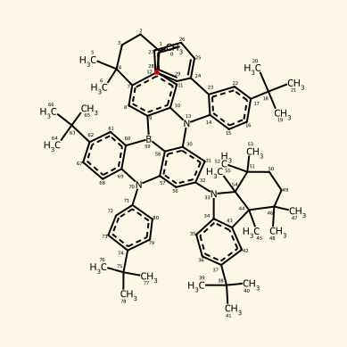 CC1CCC(C)(C)c2cc3c(cc21)N(c1ccc(C(C)(C)C)cc1C1=CC=C=C=C1)c1cc(N2c4ccc(C(C)(C)C)cc4C4(C)C(C)(C)CCC(C)(C)C24C)cc2c1B3c1cc(C(C)(C)C)ccc1N2c1ccc(C(C)(C)C)cc1